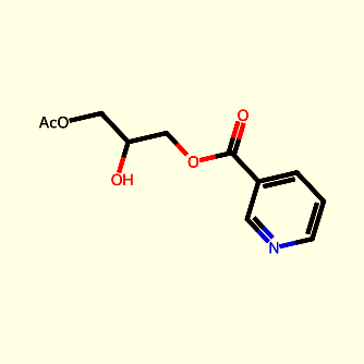 CC(=O)OCC(O)COC(=O)c1cccnc1